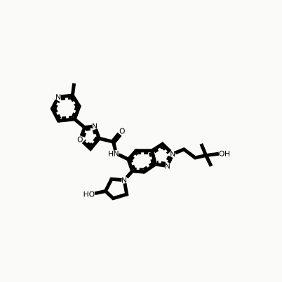 Cc1cc(-c2nc(C(=O)Nc3cc4cn(CCC(C)(C)O)nc4cc3N3CCC(O)C3)co2)ccn1